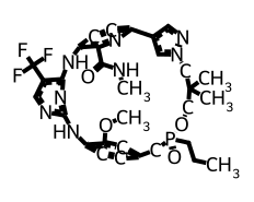 CCCP1(=O)Cc2ccc(c(OC)c2)Nc2ncc(C(F)(F)F)c(n2)Nc2ccc(nc2C(=O)NC)-c2cnn(c2)CC(C)(C)CO1